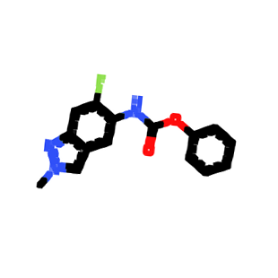 Cn1cc2cc(NC(=O)Oc3ccccc3)c(F)cc2n1